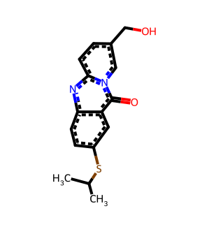 CC(C)Sc1ccc2nc3ccc(CO)cn3c(=O)c2c1